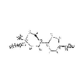 CCCCCCC[C@]1(C#N)CC[C@@H]([C@H]2CC[C@H](CCCC)CC2)CC1